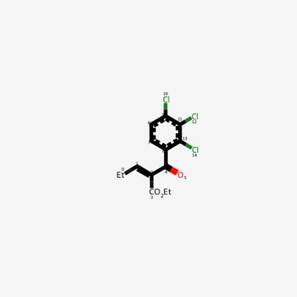 CCC=C(C(=O)OCC)C(=O)c1ccc(Cl)c(Cl)c1Cl